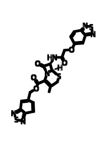 CC1=C(C(=O)OCc2ccc3nsnc3c2)N2C(=O)[C@@H](NC(=O)COc3ccc4nsnc4c3)[C@H]2SC1